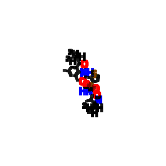 [2H]C([2H])([2H])C(=O)c1cc(C)cc(C)c1NC(=O)c1sccc1S(=O)(=O)Nc1onc(C([2H])([2H])[2H])c1C